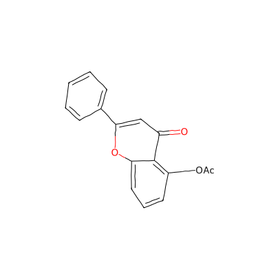 CC(=O)Oc1cccc2oc(-c3ccccc3)cc(=O)c12